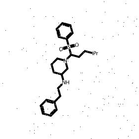 CC(C)CCC(N1CCCC(NCCc2ccccc2)C1)S(=O)(=O)c1ccccc1